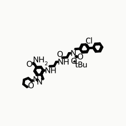 CC(C)(C)OC(=O)N(CCC(=O)NCCCNc1cc(C(N)=O)cc2c1cnn2C1CCCCO1)Cc1ccc(-c2ccccc2)c(Cl)c1